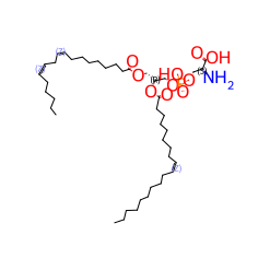 CCCCC/C=C\C/C=C\CCCCCCCC(=O)OC[C@H](COP(=O)(O)OC[C@H](N)C(=O)O)OC(=O)CCCCCCC/C=C\CCCCCCCCC